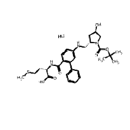 CSCC[C@H](NC(=O)c1ccc(NC[C@@H]2C[C@@H](O)CN2C(=O)OC(C)(C)C)cc1-c1ccccc1)C(=O)O.Cl